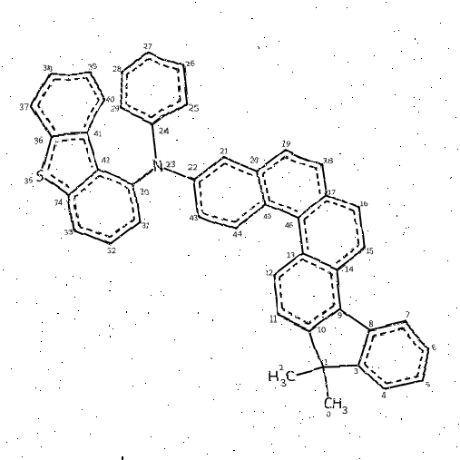 CC1(C)c2ccccc2-c2c1ccc1c2ccc2ccc3cc(N(c4ccccc4)c4cccc5sc6ccccc6c45)ccc3c21